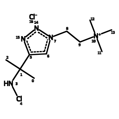 CC(C)(NCl)c1cn(CC[N+](C)(C)C)nn1.[Cl-]